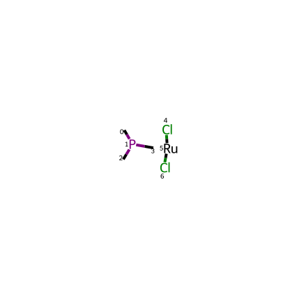 CP(C)C.[Cl][Ru][Cl]